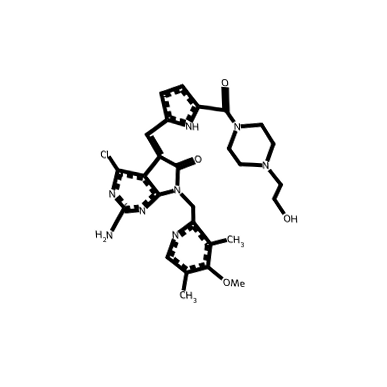 COc1c(C)cnc(CN2C(=O)C(=Cc3ccc(C(=O)N4CCN(CCO)CC4)[nH]3)c3c(Cl)nc(N)nc32)c1C